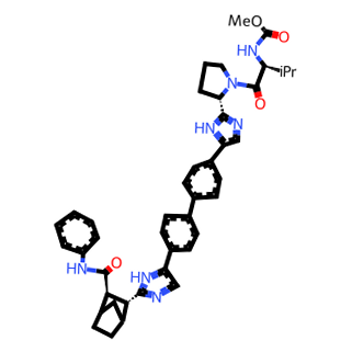 COC(=O)N[C@H](C(=O)N1CCC[C@H]1c1ncc(-c2ccc(-c3ccc(-c4cnc([C@@H]5C6CCC(C6)[C@H]5C(=O)Nc5ccccc5)[nH]4)cc3)cc2)[nH]1)C(C)C